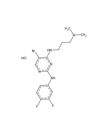 CN(C)CCCNc1nc(Nc2ccc(F)c(F)c2)ncc1Br.Cl